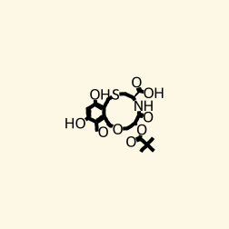 Cc1c(O)cc(O)c2c1C(=O)OC[C@H](OC(=O)C(C)(C)C)C(=O)N[C@H](C(=O)O)CSC2